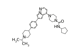 CC(C)N1CCC(c2ccc(-c3cc4c(N5CCN(C(=O)NC6CCCC6)CC5)ccnn4c3)cc2)CC1